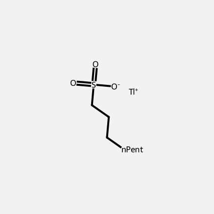 CCCCCCCCS(=O)(=O)[O-].[Tl+]